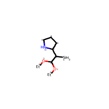 CCOC(OCC)C([SiH3])C1CCCN1